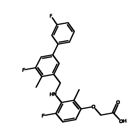 Cc1c(F)cc(-c2cccc(F)c2)cc1CNc1c(F)ccc(OCC(=O)O)c1C